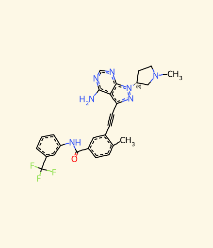 Cc1ccc(C(=O)Nc2cccc(C(F)(F)F)c2)cc1C#Cc1nn([C@@H]2CCN(C)C2)c2ncnc(N)c12